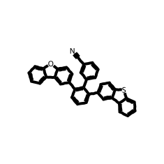 N#Cc1cccc(-c2c(-c3ccc4oc5ccccc5c4c3)cccc2-c2ccc3sc4ccccc4c3c2)c1